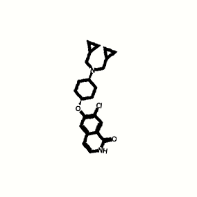 O=c1[nH]ccc2cc(O[C@H]3CC[C@H](N(CC4CC4)CC4CC4)CC3)c(Cl)cc12